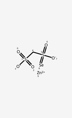 O=S(=O)([O-])CS(=O)([O-])=[Se].[Zn+2]